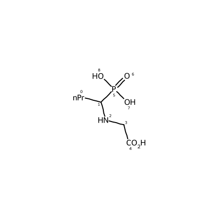 CCCC(NCC(=O)O)P(=O)(O)O